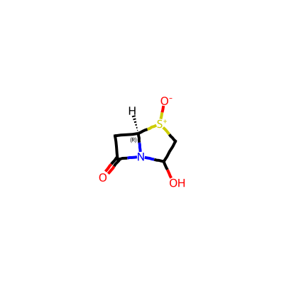 O=C1C[C@@H]2N1C(O)C[S+]2[O-]